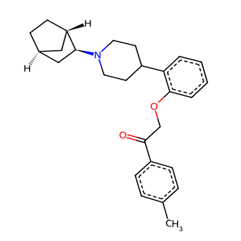 Cc1ccc(C(=O)COc2ccccc2C2CCN([C@H]3C[C@H]4CC[C@H]3C4)CC2)cc1